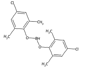 Cc1cc(Cl)cc(C)c1OBOc1c(C)cc(Cl)cc1C